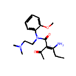 CC/C(N)=C(\C(C)=O)C(=O)N(CCN(C)C)c1ccccc1OC